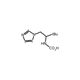 CC(C)(C)C(CN1I=NI=I1)NC(=O)O